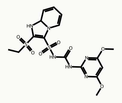 CCS(=O)(=O)C1=C(S(=O)(=O)NC(=O)Nc2nc(OC)cc(OC)n2)N2C=CC=CC2N1